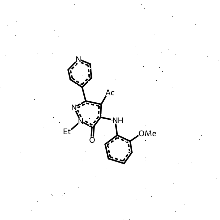 CCn1nc(-c2ccncc2)c(C(C)=O)c(Nc2ccccc2OC)c1=O